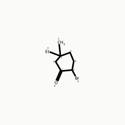 CCC1(C)CCC(Br)C(=O)C1